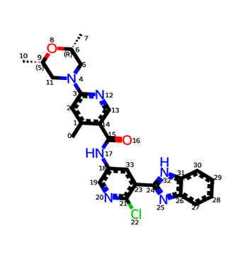 Cc1cc(N2C[C@@H](C)O[C@@H](C)C2)ncc1C(=O)Nc1cnc(Cl)c(-c2nc3ccccc3[nH]2)c1